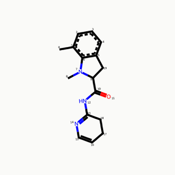 Cc1cccc2c1N(C)C(C(=O)NC1=NC=CCC1)C2